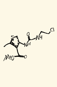 COC(=O)c1c(NC(=O)NCCCl)csc1C